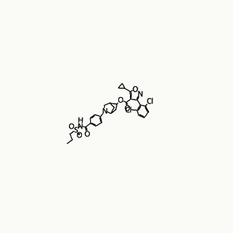 CCCS(=O)(=O)NC(=O)c1ccc(N2CC3CC2CC3OC(=O)c2c(-c3c(Cl)cccc3Cl)noc2C2CC2)cc1